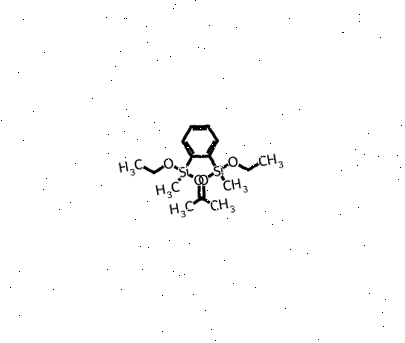 CCO[Si](C)(OCC)c1ccccc1[Si](C)(OCC)OCC